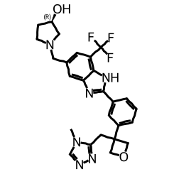 Cn1cnnc1CC1(c2cccc(-c3nc4cc(CN5CC[C@@H](O)C5)cc(C(F)(F)F)c4[nH]3)c2)COC1